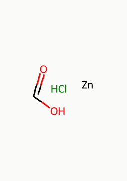 Cl.O=CO.[Zn]